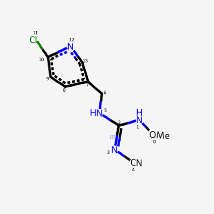 CON/C(=N\C#N)NCc1ccc(Cl)nc1